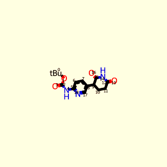 CC(C)(C)OC(=O)Nc1ccc(C2CCC(=O)NC2=O)cn1